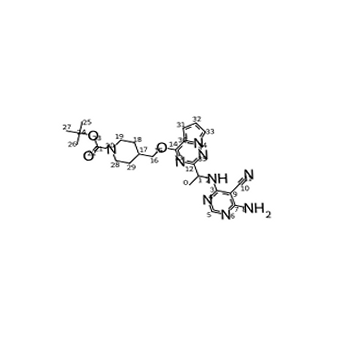 CC(Nc1ncnc(N)c1C#N)c1nc(OCC2CCN(C(=O)OC(C)(C)C)CC2)c2cccn2n1